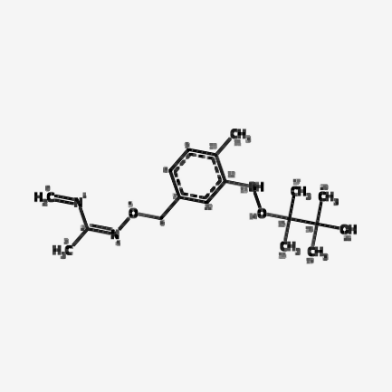 C=N/C(C)=N\OCc1ccc(C)c(BOC(C)(C)C(C)(C)O)c1